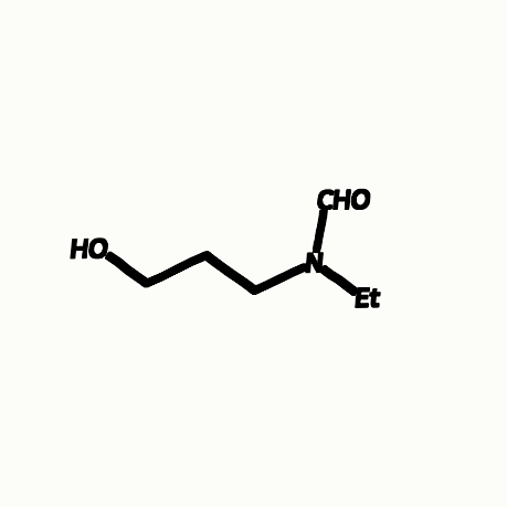 CCN(C=O)CCCO